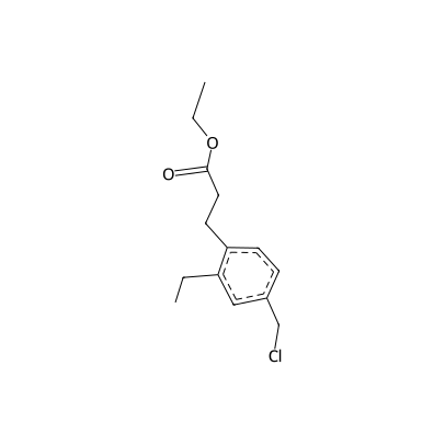 CCOC(=O)CCc1ccc(CCl)cc1CC